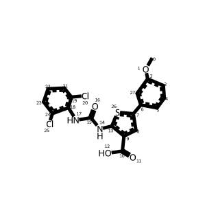 COc1cccc(-c2cc(C(=O)O)c(NC(=O)Nc3c(Cl)cccc3Cl)s2)c1